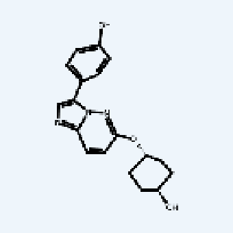 Oc1ccc(-c2cnc3ccc(O[C@H]4CC[C@H](O)CC4)nn23)cc1